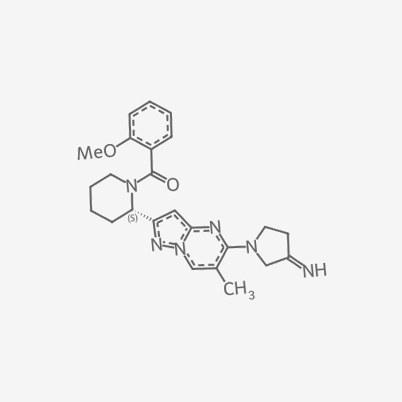 COc1ccccc1C(=O)N1CCCC[C@H]1c1cc2nc(N3CCC(=N)C3)c(C)cn2n1